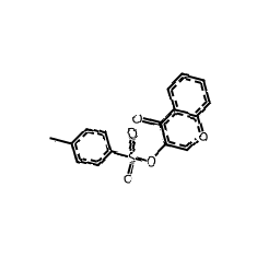 Cc1ccc(S(=O)(=O)Oc2coc3ccccc3c2=O)cc1